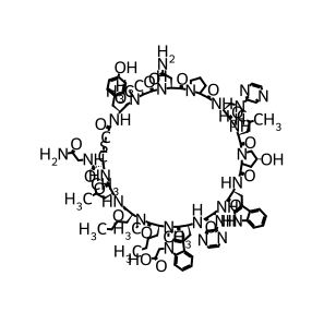 CCCC[C@H]1C(=O)N(C)[C@@H](CCCC)C(=O)N[C@@H](CC(C)C)C(=O)N[C@H](C(=O)NCC(N)=O)CSCC(=O)N[C@@H](Cc2ccc(O)cc2)C(=O)N(C)[C@@H](C)C(=O)N[C@@H](CC(N)=O)C(=O)N2CCCC2C(=O)N[C@@H](CNc2cnccn2)C(=O)N[C@@H](CC(C)C)C(=O)N2C[C@H](O)CC2C(=O)N[C@@H](Cc2c[nH]c3ccccc23)C(=O)NC(Nc2cnccn2)C(=O)N[C@@H](Cc2cn(CC(=O)O)c3ccccc23)C(=O)N1C